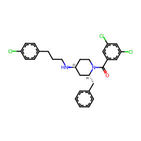 O=C(c1cc(Cl)cc(Cl)c1)N1CC[C@H](NCCCc2ccc(Cl)cc2)C[C@H]1Cc1ccccc1